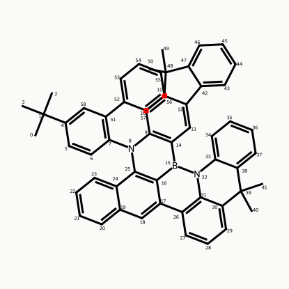 CC(C)(C)c1ccc(N2c3cc4c(cc3B3c5c(cc6ccccc6c52)-c2cccc5c2N3c2ccccc2C5(C)C)-c2ccccc2C4(C)C)c(-c2ccccc2)c1